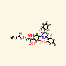 CCCCC(CC)COCC(O)C(O)c1ccc(-c2nc(-c3ccc(C)cc3C)nc(-c3ccc(C)cc3C)n2)c(O)c1